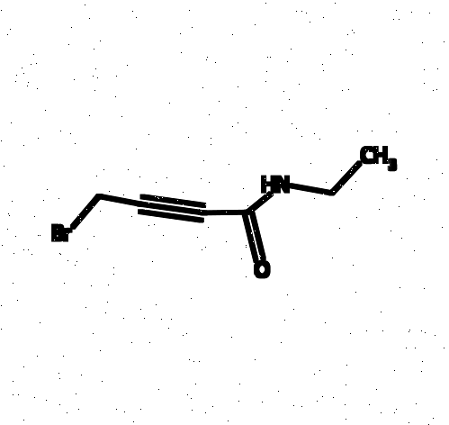 CCNC(=O)C#CCBr